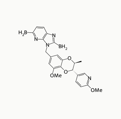 Bc1ccc2nc(B)n(Cc3cc(OC)c4c(c3)O[C@@H](C)[C@H](c3ccc(OC)nc3)O4)c2n1